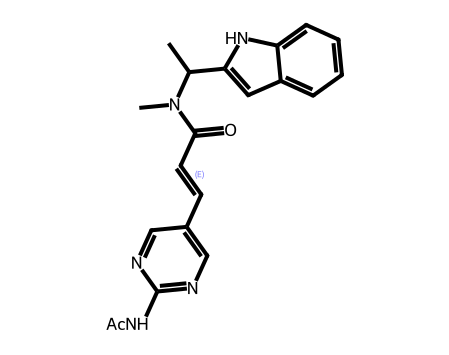 CC(=O)Nc1ncc(/C=C/C(=O)N(C)C(C)c2cc3ccccc3[nH]2)cn1